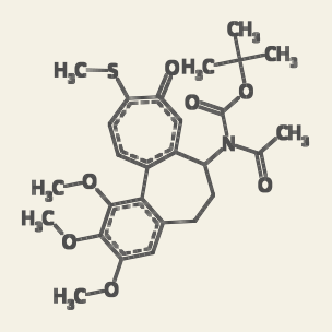 COc1cc2c(c(OC)c1OC)-c1ccc(SC)c(=O)cc1C(N(C(C)=O)C(=O)OC(C)(C)C)CC2